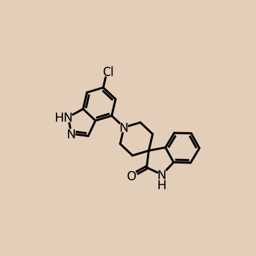 O=C1Nc2ccccc2C12CCN(c1cc(Cl)cc3[nH]ncc13)CC2